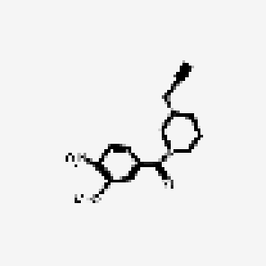 C#CC[C@H]1CCCN(C(=O)c2ccc([N+](=O)[O-])c(OC)c2)C1